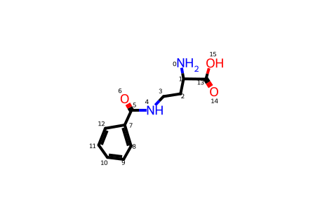 NC(CCNC(=O)c1ccccc1)C(=O)O